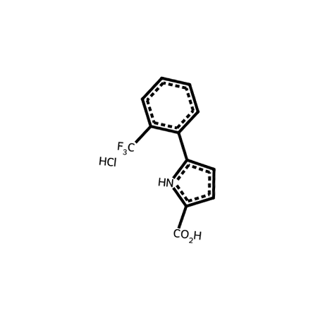 Cl.O=C(O)c1ccc(-c2ccccc2C(F)(F)F)[nH]1